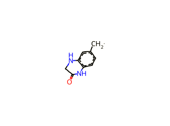 [CH2]c1ccc2c(c1)NCC(=O)N2